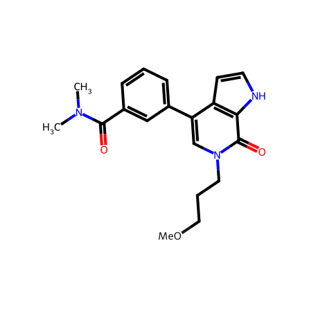 COCCCn1cc(-c2cccc(C(=O)N(C)C)c2)c2cc[nH]c2c1=O